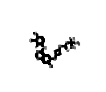 CC(C)(C)OC(=O)NC1CC(Oc2cc3c(Nc4ccc(Cl)c(Cl)c4F)ncnc3cc2O)C1